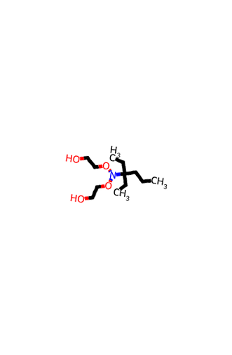 CCCC(CC)(CC)N(OCCO)OCCO